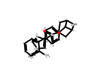 Cc1ccccc1-c1ccc(C2C3CN(S(=O)(=O)c4cn(C)cn4)CC2N3)cc1